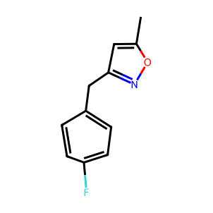 Cc1cc(Cc2ccc(F)cc2)no1